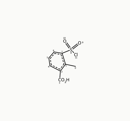 Cc1c(C(=O)O)cccc1S(=O)(=O)Cl